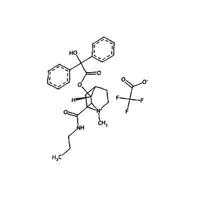 CCCNC(=O)C1[C@H](OC(=O)C(O)(c2ccccc2)c2ccccc2)C2CC[N+]1(C)CC2.O=C([O-])C(F)(F)F